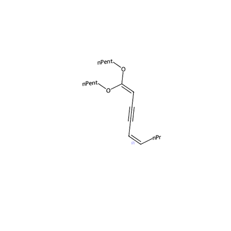 CCC/C=C\C#CC=C(OCCCCC)OCCCCC